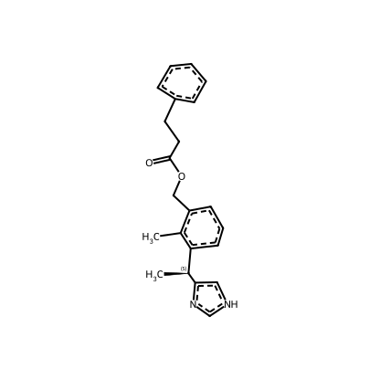 Cc1c(COC(=O)CCc2ccccc2)cccc1[C@H](C)c1c[nH]cn1